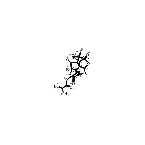 CC(C)C(=O)OC1CC23OC4OC(=O)[C@H](O)C45[C@H](C(C)(C)C)[C@@H](O)C(OC2=O)C35[C@H]1O